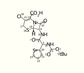 CC(C)(C)OC(=O)NC(C(=O)NC1C(=O)N2C(C(=O)O)=C(Cl)CS[C@@H]12)c1cccs1